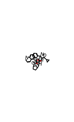 O=S(=O)(NC1C2CCC1CC(OCc1c(-c3ccccc3OC(F)(F)F)noc1C1CC1)C2)c1cccc2ncccc12